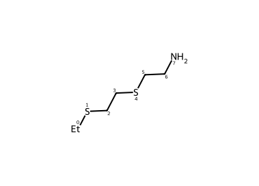 CCSCCSCCN